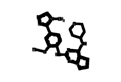 CCOc1cc(-c2nncn2C)ccc1Nc1nc(NC2CCOCC2)c2cccn2n1